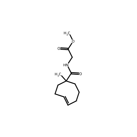 COC(=O)CNC(=O)C1(C)CC[CH]/C=C/CC1